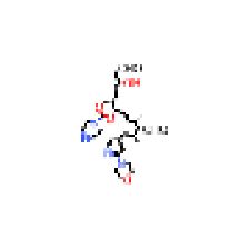 C/C(=C\c1ccnc(N2CCOCC2)c1)[C@@H](C=O)[C@@H](C)/C=C/[C@H](OC(=O)N1CCN(C)CC1)[C@@H](C)CC[C@@H](O)CC=O